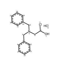 Cl.OC(Cl)CN(Cc1ccccc1)Cc1ccccc1